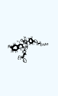 CCC(=O)c1csc(NC(=O)[C@H]([C@@H](C)c2cccc(F)c2)N2C(=O)N[C@H](c3ccc(OCCOC)cc3)C2=O)n1